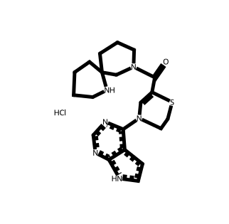 Cl.O=C(C1=CN(c2ncnc3[nH]ccc23)CCS1)N1CCCC2(CCCCN2)C1